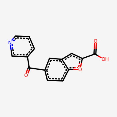 O=C(c1cccnc1)c1ccc2oc(C(=O)O)cc2c1